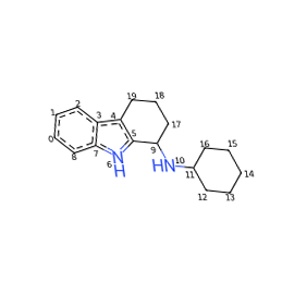 c1ccc2c3c([nH]c2c1)C(NC1CCCCC1)CCC3